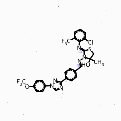 CC1(O)CS/C(=N\c2c(Cl)cccc2C(F)(F)F)N1/N=C/c1ccc(-c2ncn(-c3ccc(OC(F)(F)F)cc3)n2)cc1